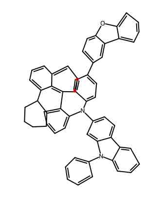 c1ccc(-n2c3ccccc3c3ccc(N(c4ccc(-c5ccc6oc7ccccc7c6c5)cc4)c4ccccc4-c4cccc5cccc(C6CCCCC6)c45)cc32)cc1